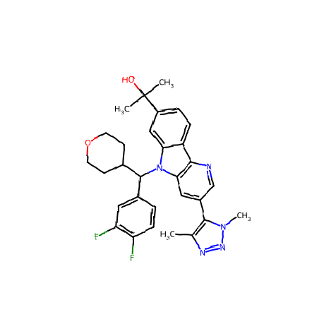 Cc1nnn(C)c1-c1cnc2c3ccc(C(C)(C)O)cc3n(C(c3ccc(F)c(F)c3)C3CCOCC3)c2c1